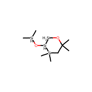 C[SiH](C)O[SiH]1[SiH2]OC(C)(C)C[Si]1(C)C